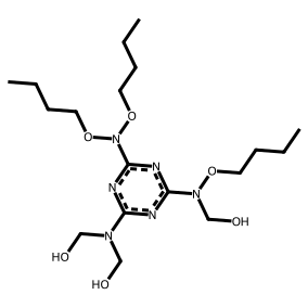 CCCCON(CO)c1nc(N(CO)CO)nc(N(OCCCC)OCCCC)n1